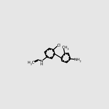 C=CNc1ccc(Cl)c(-c2ccc(N)cc2C)c1